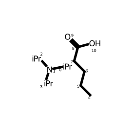 CC(C)N(C(C)C)C(C)C.CCCCC(=O)O